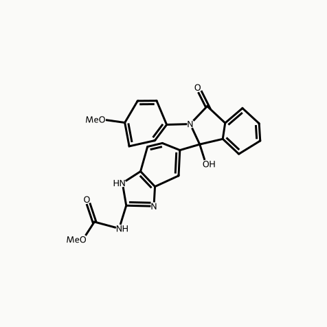 COC(=O)Nc1nc2cc(C3(O)c4ccccc4C(=O)N3c3ccc(OC)cc3)ccc2[nH]1